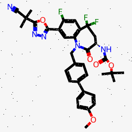 COc1ccc(-c2ccc(CN3C(=O)[C@@H](NC(=O)OC(C)(C)C)CC(F)(F)c4cc(F)c(-c5nnc(C(C)(C)C#N)o5)cc43)cc2)cc1